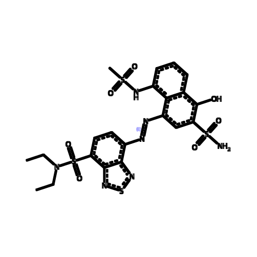 CCN(CC)S(=O)(=O)c1ccc(/N=N/c2cc(S(N)(=O)=O)c(O)c3cccc(NS(C)(=O)=O)c23)c2nsnc12